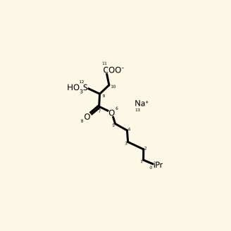 CC(C)CCCCCOC(=O)C(CC(=O)[O-])S(=O)(=O)O.[Na+]